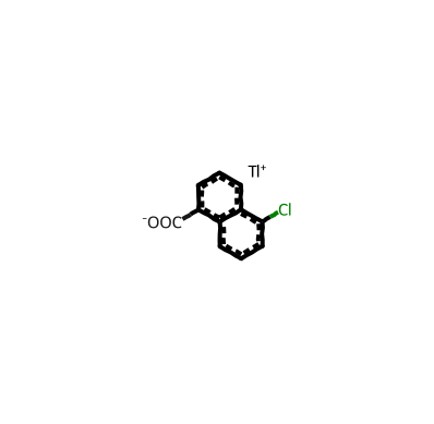 O=C([O-])c1cccc2c(Cl)cccc12.[Tl+]